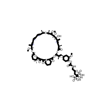 CO[C@H]1C[C@@H]2CC[C@@H](C)C(O)(O2)C(=O)C(=O)N2CCCCC2C(=O)O[C@H]([C@H](C)C[C@@H]2CC[C@@H](OC(=O)NCCCC(O)(P(=O)(O)O)P(=O)(O)O)[C@H](OC)C2)CC(=O)[C@H](C)/C=C(\C)[C@@H](O)[C@@H](OC)C(=O)[C@H](C)C[C@H](C)/C=C/C=C/C=C/1C